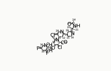 [2H]C([2H])(OC1=C(Cl)C(=C=O)N(c2cc(-c3ccnc(C(C)(C)NC(C)=O)c3)ncc2Cl)C(C)=C1)c1ncc(F)cc1F